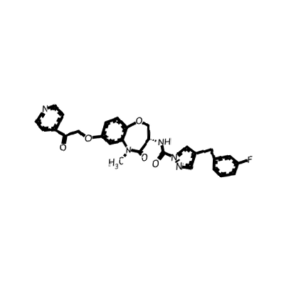 CN1C(=O)[C@@H](NC(=O)n2cc(Cc3cccc(F)c3)cn2)COc2ccc(OCC(=O)c3ccncc3)cc21